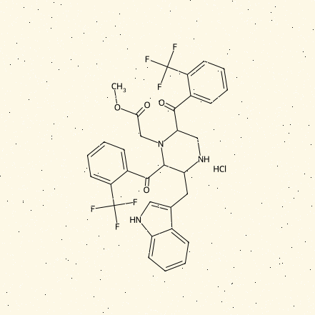 COC(=O)CN1C(C(=O)c2ccccc2C(F)(F)F)CNC(Cc2c[nH]c3ccccc23)C1C(=O)c1ccccc1C(F)(F)F.Cl